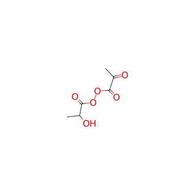 CC(=O)C(=O)OOC(=O)C(C)O